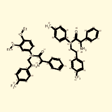 CCOc1ccc(N(CCc2ccc(C(F)(F)F)cc2)C(=O)C(N)c2ccccc2)cc1OCC.Cc1ccc(N(CCc2ccc(C(F)(F)F)cc2)C(=O)C(N)c2ccccc2)cc1